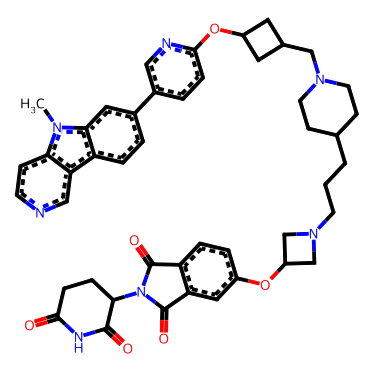 Cn1c2ccncc2c2ccc(-c3ccc(OC4CC(CN5CCC(CCCN6CC(Oc7ccc8c(c7)C(=O)N(C7CCC(=O)NC7=O)C8=O)C6)CC5)C4)nc3)cc21